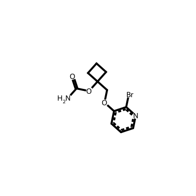 NC(=O)OC1(COc2cccnc2Br)CCC1